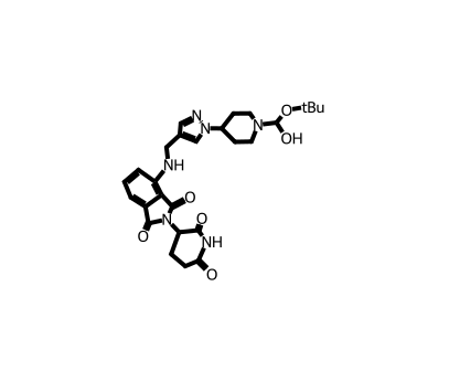 CC(C)(C)OC(O)N1CCC(n2cc(CNc3cccc4c3C(=O)N(C3CCC(=O)NC3=O)C4=O)cn2)CC1